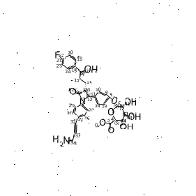 COC(=O)[C@H]1O[C@@H](Oc2ccc([C@@H]3[C@@H](CC[C@H](O)c4ccc(F)cc4)C(=O)N3c3ccc(C#CCN)cc3)cc2)[C@H](O)[C@@H](O)[C@@H]1O